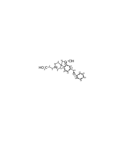 Cl.O=C(O)CCN1CCC2(CC1)COc1cc(COc3ccccc3)ccc12